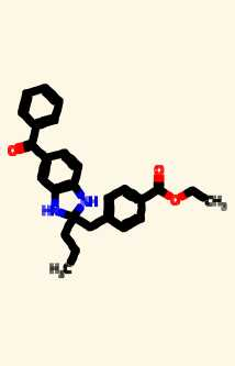 CCCC1(Cc2ccc(C(=O)OCC)cc2)Nc2ccc(C(=O)c3ccccc3)cc2N1